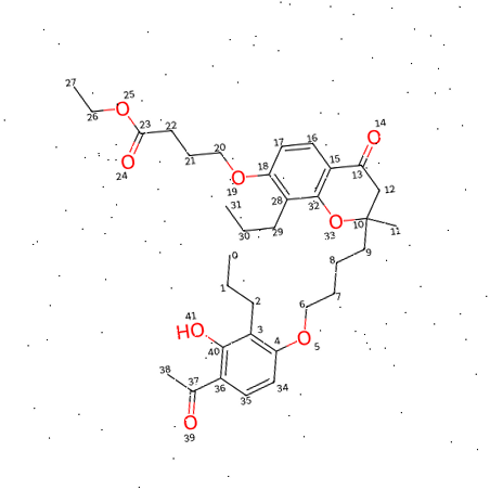 CCCc1c(OCCCCC2(C)CC(=O)c3ccc(OCCCC(=O)OCC)c(CCC)c3O2)ccc(C(C)=O)c1O